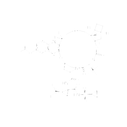 CC(C)(C)[C@@H]1NC(=O)O[C@@H]2C[C@@H]3CC[C@@H]3[C@H]2CCCCC(F)(F)c2nc3ccc(OC(F)F)cc3nc2O[C@@H]2C[C@@H](C(=O)N[C@]3(C(=O)NS(=O)(=O)C4CC4)C[C@H]3C(F)F)N(C2)C1=O